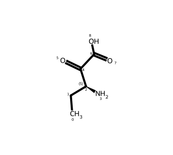 CC[C@H](N)C(=O)C(=O)O